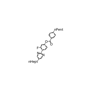 CCCCCCCc1cnc(-c2ccc(OC(=O)c3ccc(CCCCC)cc3)cc2F)nc1